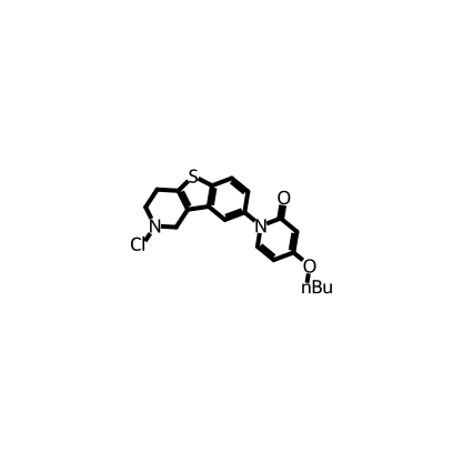 CCCCOc1ccn(-c2ccc3sc4c(c3c2)CN(Cl)CC4)c(=O)c1